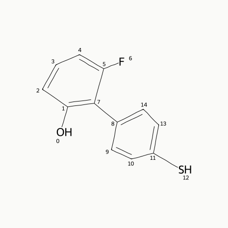 Oc1cccc(F)c1-c1ccc(S)cc1